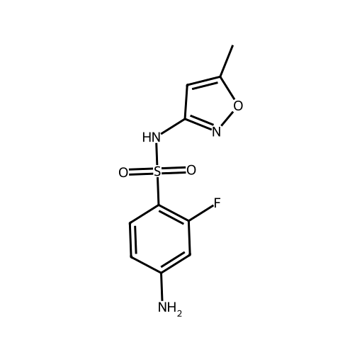 Cc1cc(NS(=O)(=O)c2ccc(N)cc2F)no1